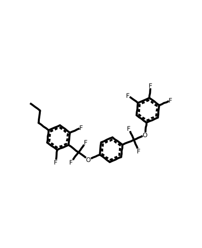 CCCc1cc(F)c(C(F)(F)Oc2ccc(C(F)(F)Oc3cc(F)c(F)c(F)c3)cc2)c(F)c1